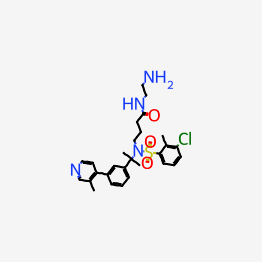 Cc1cnccc1-c1cccc(C(C)(C)N(CCCC(=O)NCCN)S(=O)(=O)c2cccc(Cl)c2C)c1